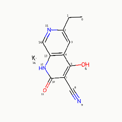 CCc1cc2c(O)c(C#N)c(=O)[nH]c2cn1.[K]